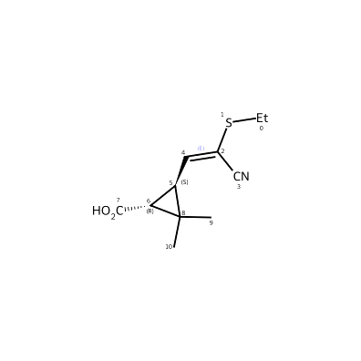 CCS/C(C#N)=C/[C@@H]1[C@@H](C(=O)O)C1(C)C